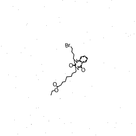 CCOC(=O)CCCCCCCn1c(=O)c2ccccc2n(CCCCBr)c1=O